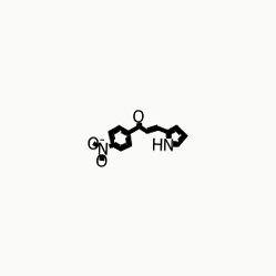 O=C(C=Cc1ccc[nH]1)c1ccc([N+](=O)[O-])cc1